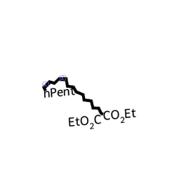 CCCCC/C=C\C/C=C\CCCCCCCCC(C(=O)OCC)C(=O)OCC